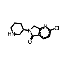 O=C1c2ccc(Cl)nc2CN1C1CCCNC1